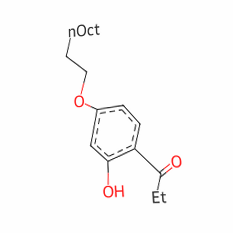 CCCCCCCCCCOc1ccc(C(=O)CC)c(O)c1